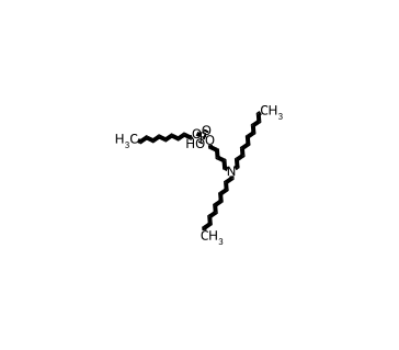 CCCCCCCCCCCN(CCCCCCCCCCC)CCCCCOP(=O)(O)OCCCCCCCCCC